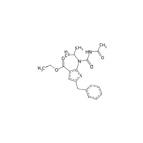 CCOC(=O)c1cc(Cc2ccccc2)sc1N(C(=O)NC(C)=O)C(C)C